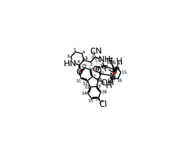 N#C[C@@H](C[C@@H]1CCCNC1=O)NC(=O)[C@@H]1[C@@H]2CC[C@@H](CC2(F)F)N1C(=O)[C@]1(O)c2ccccc2-c2ccc(Cl)cc21